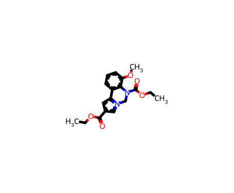 CCOC(=O)c1cc2n(c1)CN(C(=O)OCC)c1c(OC)cccc1-2